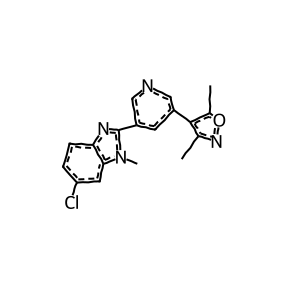 Cc1noc(C)c1-c1cncc(-c2nc3ccc(Cl)cc3n2C)c1